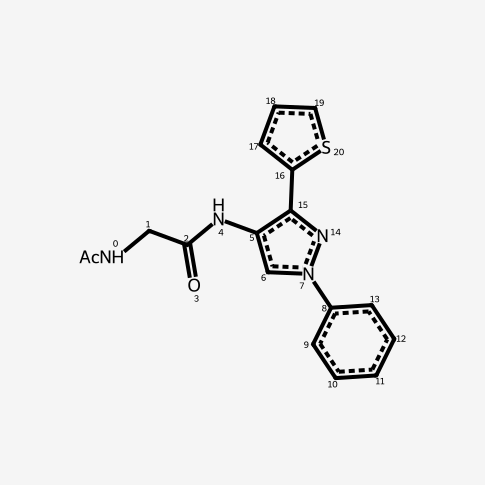 CC(=O)NCC(=O)Nc1cn(-c2ccccc2)nc1-c1cccs1